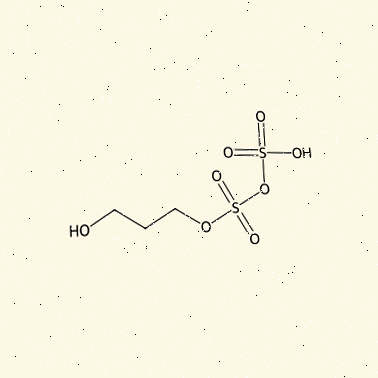 O=S(=O)(O)OS(=O)(=O)OCCCO